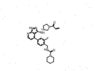 C=CC(=O)N1CC[C@@H](Nc2n[nH]c3nccc(-c4ccc(CNC(=O)N5CCCCC5)c(F)c4)c23)C1